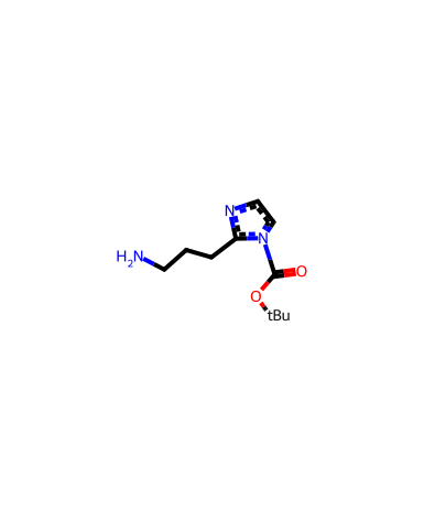 CC(C)(C)OC(=O)n1ccnc1CCCN